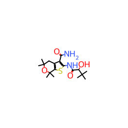 CC1(C)Cc2c(sc(NC(=O)[C@@H](O)C(C)(C)C)c2C(N)=O)C(C)(C)O1